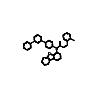 C=C(/C=C\c1ccccc1C)N(c1ccc(-c2cccc(-c3ccccc3)c2)cc1)c1cccc2c1oc1ccccc12